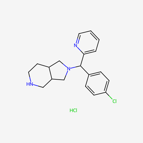 Cl.Clc1ccc(C(c2ccccn2)N2CC3CCNCC3C2)cc1